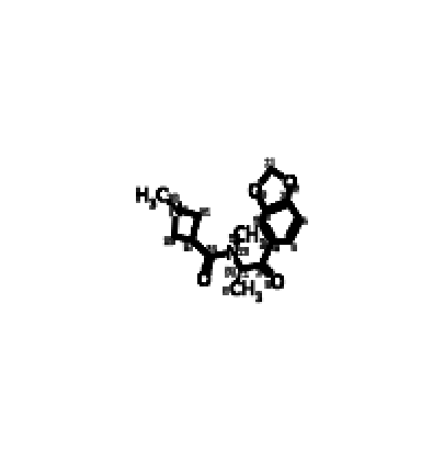 C[C@@H](C(=O)c1ccc2c(c1)OCO2)N(C)C(=O)C1CN(C)C1